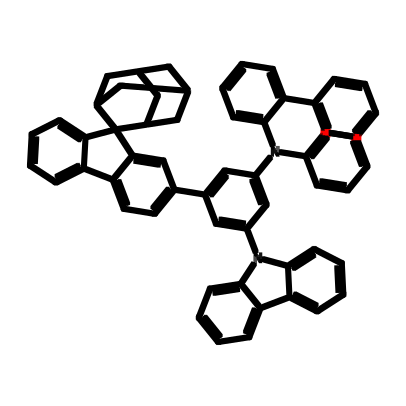 c1ccc(-c2ccccc2N(c2ccccc2)c2cc(-c3ccc4c(c3)C3(c5ccccc5-4)C4CC5CC(C4)CC3C5)cc(-n3c4ccccc4c4ccccc43)c2)cc1